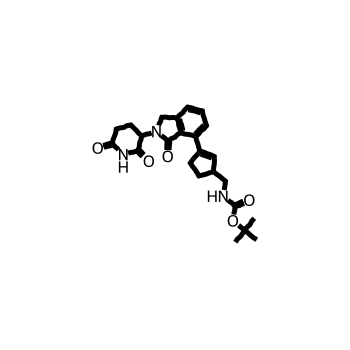 CC(C)(C)OC(=O)NCC1C=C(c2cccc3c2C(=O)N(C2CCC(=O)NC2=O)C3)CC1